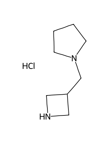 C1CCN(CC2CNC2)C1.Cl